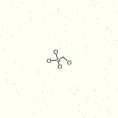 ClC[Si](Cl)(Cl)Cl